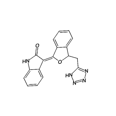 O=C1Nc2ccccc2C1=C1OC(Cc2nnn[nH]2)c2ccccc21